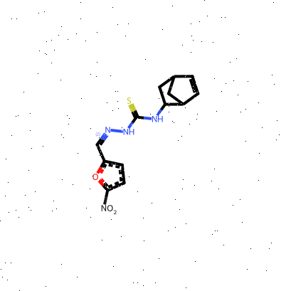 O=[N+]([O-])c1ccc(/C=N\NC(=S)NC2CC3C=CC2C3)o1